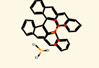 CCP(CC)CC.c1ccc(P(c2ccccc2)c2ccc3ccccc3c2-c2c(P(c3ccccc3)c3ccccc3)ccc3ccccc23)cc1